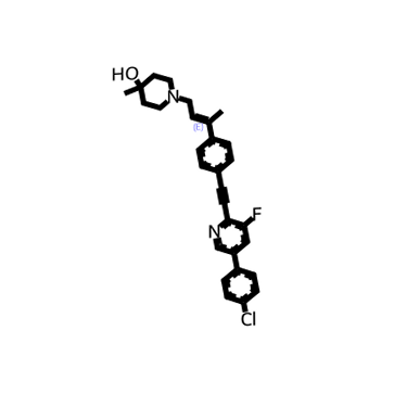 C/C(=C\CN1CCC(C)(O)CC1)c1ccc(C#Cc2ncc(-c3ccc(Cl)cc3)cc2F)cc1